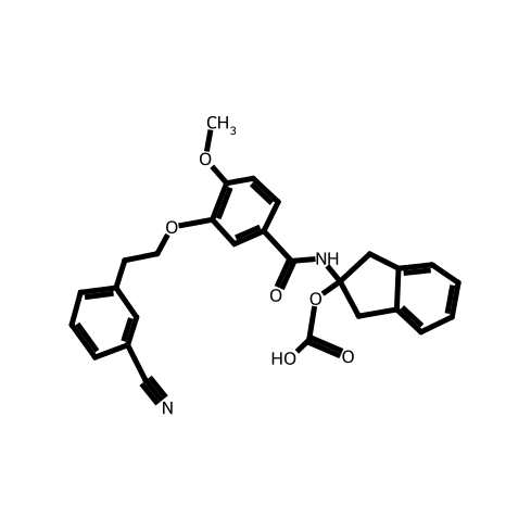 COc1ccc(C(=O)NC2(OC(=O)O)Cc3ccccc3C2)cc1OCCc1cccc(C#N)c1